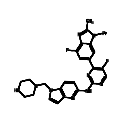 Cc1nc2c(F)cc(-c3nc(Nc4ccc5c(ccn5CN5CCNCC5)n4)ncc3F)cc2n1C(C)C